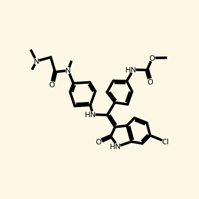 COC(=O)Nc1ccc(/C(Nc2ccc(N(C)C(=O)CN(C)C)cc2)=C2/C(=O)Nc3cc(Cl)ccc32)cc1